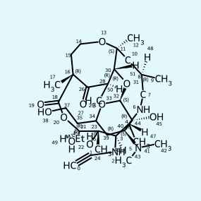 C#CN[C@@H]1[C@@H](C)NC[C@H](C)C[C@]2(C)OCC[C@@](C)(C(=O)O[C@H](CC)[C@@]1(C)O)C(=O)[C@H](C)[C@H]2O[C@@H]1OC([C@H](O)CO)C[C@H](N(C)C)[C@H]1O